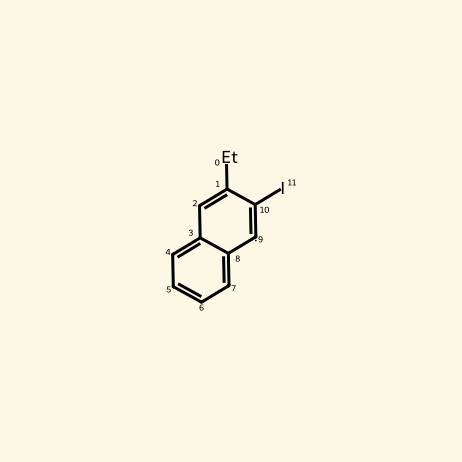 CCc1cc2ccccc2[c]c1I